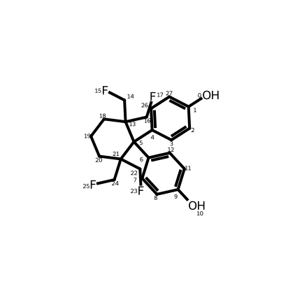 Oc1ccc(C2(c3ccc(O)cc3)C(CF)(CF)CCCC2(CF)CF)cc1